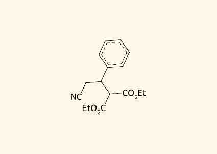 CCOC(=O)C(C(=O)OCC)C(CC#N)c1ccccc1